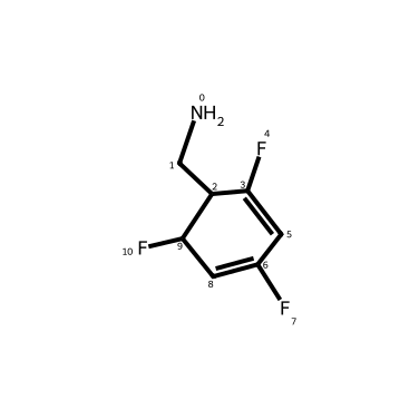 NCC1C(F)=CC(F)=CC1F